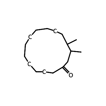 CC1CCCCCCCCCCCC(=O)CC1C